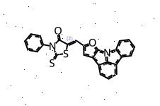 O=C1/C(=C/c2cc3c4cccc5c6ccccc6n(c3o2)c54)SC(=S)N1c1ccccc1